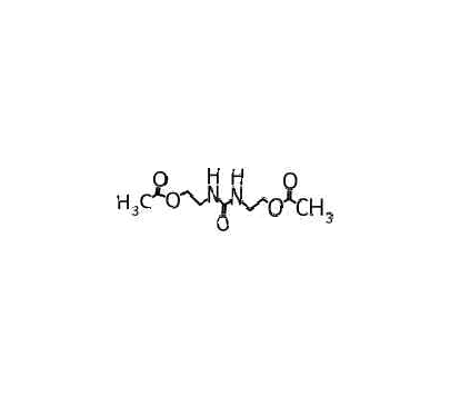 CC(=O)OCCNC(=O)NCCOC(C)=O